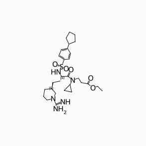 CCOC(=O)CCN(C(=O)[C@H](CC[C@@H]1CCCN(C(=N)N)C1)NS(=O)(=O)c1ccc(C2CCCC2)cc1)C1CC1